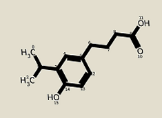 CC(C)c1cc(CCCC(=O)O)ccc1O